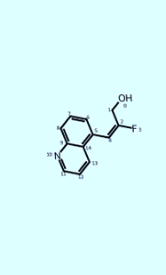 OC/C(F)=C\c1cccc2ncccc12